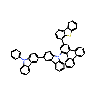 c1ccc(-n2c3ccccc3c3cc(-c4ccc5c(c4)c4ccccc4n5-c4cc(-c5cccc6c5sc5ccccc56)cc5c6ccccc6c6ccccc6c45)ccc32)cc1